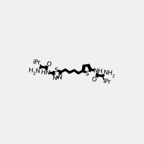 CC(C)[C@H](N)C(=O)Nc1ccc(CCCCc2nnc(NC(=O)[C@@H](N)C(C)C)s2)s1